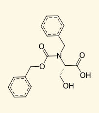 O=C(O)[C@H](CO)N(Cc1ccccc1)C(=O)OCc1ccccc1